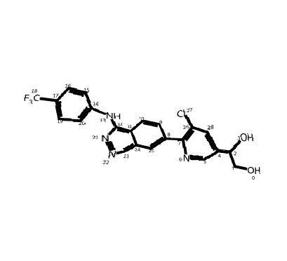 OCC(O)c1cnc(-c2ccc3c(Nc4ccc(C(F)(F)F)cc4)nncc3c2)c(Cl)c1